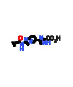 O=C(O)c1nc(-c2ccc3nc(NC(=O)C4CC4)cn3c2)c[nH]1